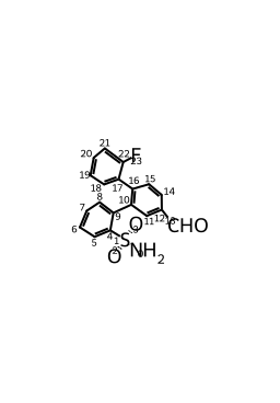 NS(=O)(=O)c1ccccc1-c1cc(C=O)ccc1-c1ccccc1F